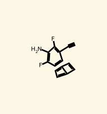 C#Cc1ccc(F)c(N)c1F.c1cc2ccc1-2